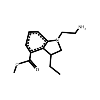 CCC1CN(CCN)c2cccc(C(=O)OC)c21